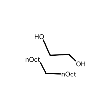 CCCCCCCCCCCCCCCCC.OCCO